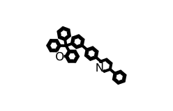 C1=CC(c2ccccc2)CN=C1c1ccc(-c2cccc(C3(c4ccccc4)c4ccccc4Oc4ccccc43)c2)cc1